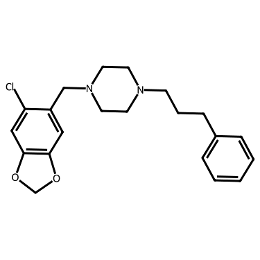 Clc1cc2c(cc1CN1CCN(CCCc3ccccc3)CC1)OCO2